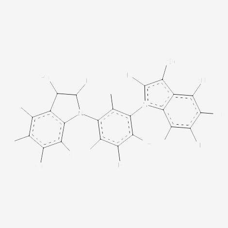 [2H]c1c([2H])c([2H])c2c(c1[2H])C(C(C)(C)C)C([2H])N2c1c([2H])c([2H])c([2H])c(-n2c([2H])c(C(C)(C)C)c3c([2H])c([2H])c([2H])c([2H])c32)c1[2H]